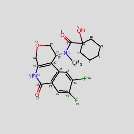 CN(C(=O)C1(O)CCCCC1)[C@H]1COCc2[nH]c(=O)c3cc(F)c(F)cc3c21